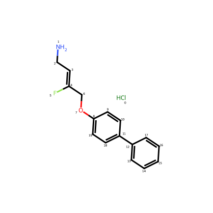 Cl.NCC=C(F)COc1ccc(-c2ccccc2)cc1